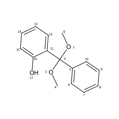 COC(OC)(c1ccccc1)c1ccccc1O